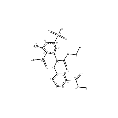 CCOC(=O)N(Cc1cccc(C(=O)OC)c1)c1nc(S(C)(=O)=O)nc(N)c1[N+](=O)[O-]